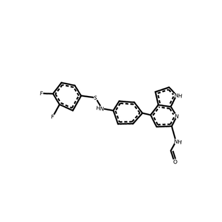 O=CNc1cc(-c2ccc(NSc3ccc(F)c(F)c3)cc2)c2cc[nH]c2n1